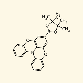 CC1(C)OB(c2cc3c4c(c2)Oc2ccccc2N4c2ccccc2O3)OC1(C)C